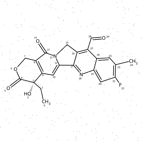 CC[C@@]1(O)C(=O)OCc2c1cc1n(c2=O)Cc2c-1nc1cc(F)c(C)cc1c2C=O